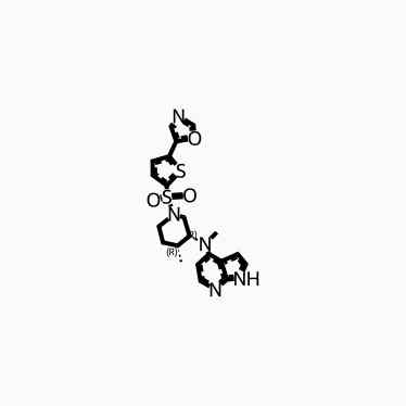 C[C@@H]1CCN(S(=O)(=O)c2ccc(-c3cnco3)s2)C[C@@H]1N(C)c1ccnc2[nH]ccc12